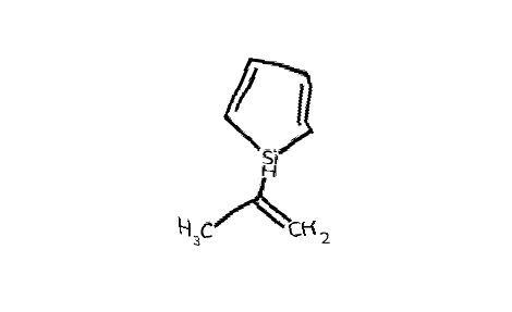 C=C(C)[SiH]1C=CC=C1